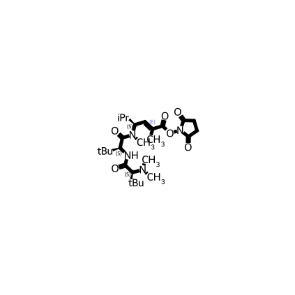 C/C(=C\[C@H](C(C)C)N(C)C(=O)[C@@H](NC(=O)[C@@H](N(C)C)C(C)(C)C)C(C)(C)C)C(=O)ON1C(=O)CCC1=O